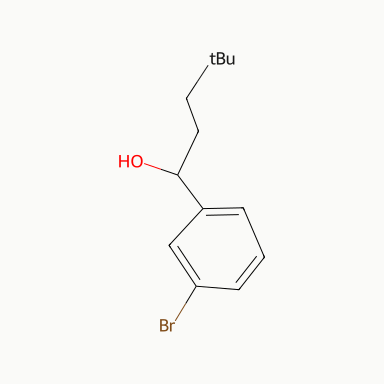 CC(C)(C)CCC(O)c1cccc(Br)c1